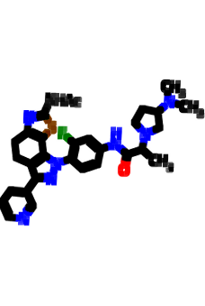 CC(=O)Nc1nc2c(s1)-c1c(c(-c3cccnc3)nn1-c1ccc(NC(=O)C(C)N3CCC(N(C)C)C3)cc1F)CC2